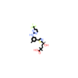 Cc1cc(Nc2nccc(C(F)(F)F)n2)cc(-c2cnc([C@](C)(O)CCC(C)(C)C(=O)O)s2)c1